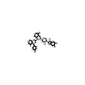 Cc1cc2nc([C@@H]3CO[C@H](CCc4c(F)cncc4NC(=O)C[C@@H](c4ccc(F)cc4)c4ccncc4F)CN3)[nH]c2cc1C